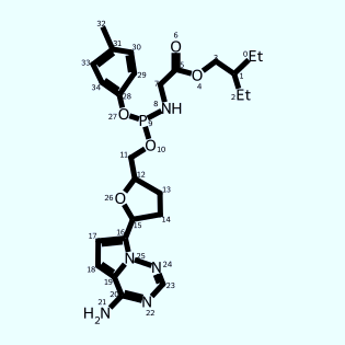 CCC(CC)COC(=O)CNP(OCC1CCC(c2ccc3c(N)ncnn23)O1)Oc1ccc(C)cc1